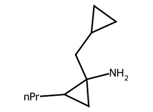 CCCC1CC1(N)CC1CC1